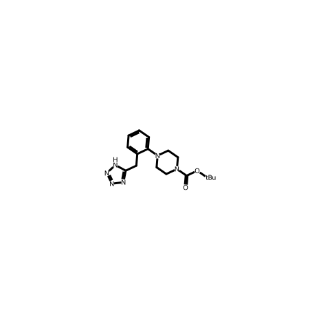 CC(C)(C)OC(=O)N1CCN(c2ccccc2Cc2nnn[nH]2)CC1